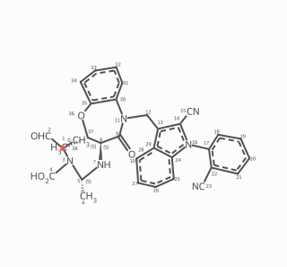 CC(C=O)N(C(=O)O)[C@@H](C)N[C@@H]1C(=O)N(Cc2c(C#N)n(-c3ccccc3C#N)c3ccccc23)c2ccccc2O[C@H]1C